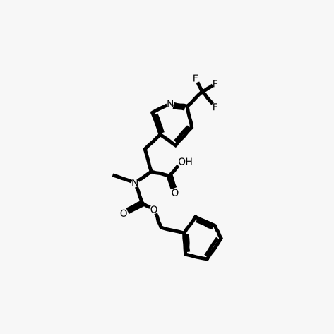 CN(C(=O)OCc1ccccc1)C(Cc1ccc(C(F)(F)F)nc1)C(=O)O